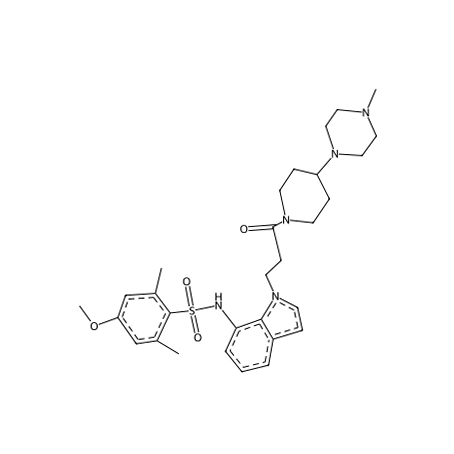 COc1cc(C)c(S(=O)(=O)Nc2cccc3ccn(CCC(=O)N4CCC(N5CCN(C)CC5)CC4)c23)c(C)c1